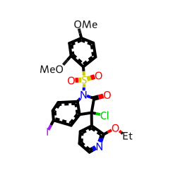 CCOc1ncccc1C1(Cl)C(=O)N(S(=O)(=O)c2ccc(OC)cc2OC)c2ccc(I)cc21